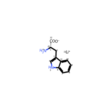 N[C@@H](Cc1c[nH]c2ccccc12)C(=O)[O-].[Li+]